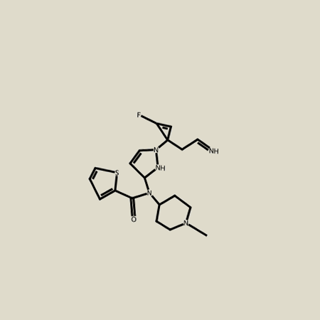 CN1CCC(N(C(=O)c2cccs2)C2C=CN(C3(CC=N)C=C3F)N2)CC1